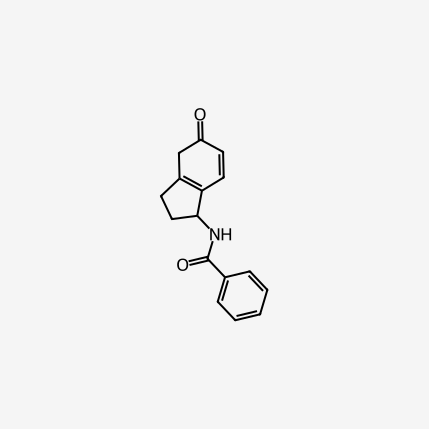 O=C1C=CC2=C(CCC2NC(=O)c2ccccc2)C1